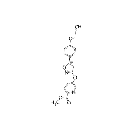 C#CCOc1ccc([C@H]2CC(Oc3ccc(C(=O)OC)nc3)=NO2)cc1